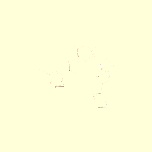 Cc1cc(C)c(-n2ccn3nc(-c4cccnn4)cc23)cc1NC(=O)c1cc(Br)cc(S(F)(F)(F)(F)F)c1